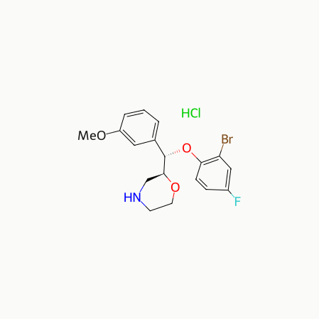 COc1cccc([C@H](Oc2ccc(F)cc2Br)[C@@H]2CNCCO2)c1.Cl